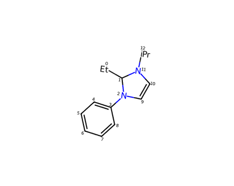 CCC1N(c2ccccc2)C=CN1C(C)C